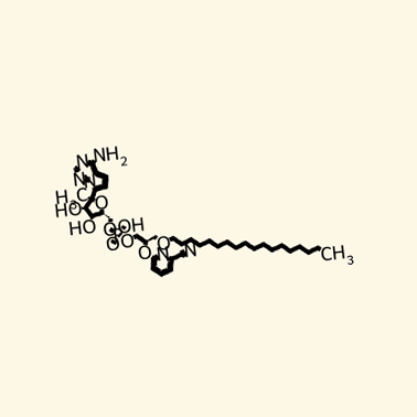 CCCCCCCCCCCCCCCCCCOC[C@H](COP(=O)(O)OC[C@H]1O[C@@](C)(c2ccc3c(N)ncnn23)[C@H](O)[C@@H]1O)Oc1cccc(C#N)n1